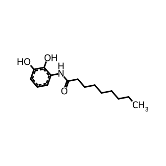 CCCCCCCCC(=O)Nc1cccc(O)c1O